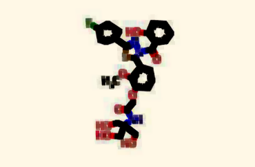 COc1c(OCC(=O)NC(CO)(CO)CO)cccc1C1SC(c2ccc(F)cc2)=NN1C(=O)c1ccccc1O